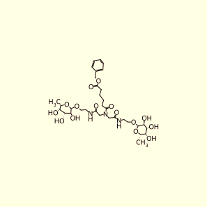 C[C@@H]1O[C@@H](OCCNC(=O)CN(CC(=O)NCCO[C@@H]2O[C@@H](C)[C@@H](O)[C@@H](O)[C@@H]2O)C(=O)CCCCC(=O)OCc2ccccc2)[C@@H](O)[C@H](O)[C@@H]1O